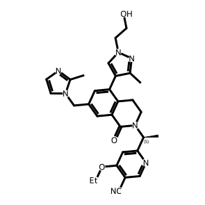 CCOc1cc([C@H](C)N2CCc3c(cc(Cn4ccnc4C)cc3-c3cn(CCO)nc3C)C2=O)ncc1C#N